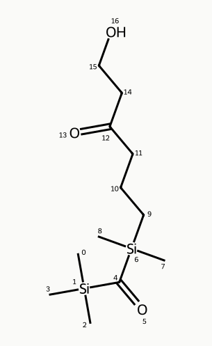 C[Si](C)(C)C(=O)[Si](C)(C)CCCC(=O)CCO